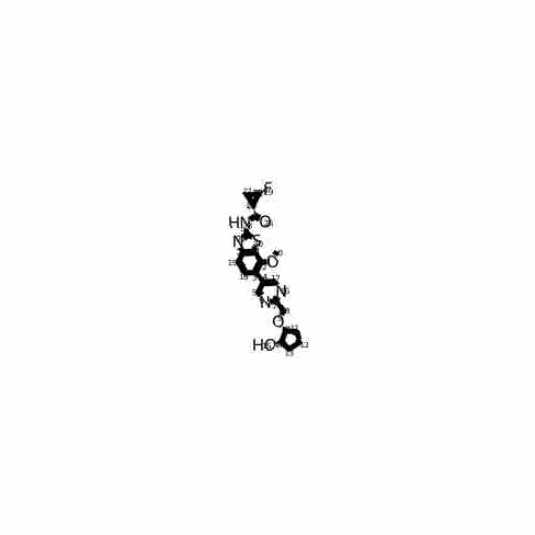 COc1c(-c2cnc(CO[C@H]3CCC[C@@H]3O)nc2)ccc2nc(NC(=O)[C@@H]3C[C@@H]3F)sc12